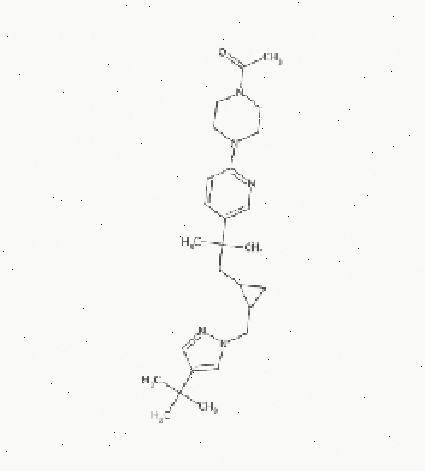 CC(=O)N1CCN(c2ccc(C(C)(C)CC3CC3Cn3cc(C(C)(C)C)cn3)cn2)CC1